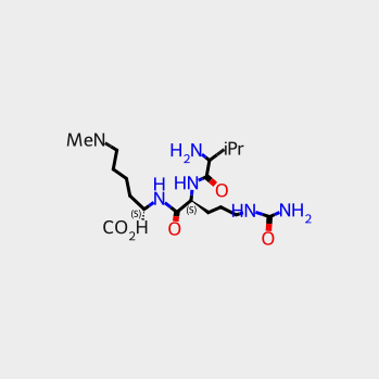 CNCCCC[C@H](NC(=O)[C@H](CCCNC(N)=O)NC(=O)C(N)C(C)C)C(=O)O